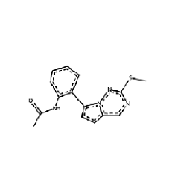 CSc1ncc2ccc(-c3ccccc3NC(C)=O)n2n1